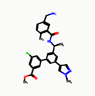 COC(=O)c1cc(Cl)cc(-c2cc(-c3cnn(C)c3)cc(C(C)NC(=O)c3cc(CN)ccc3C)c2)c1